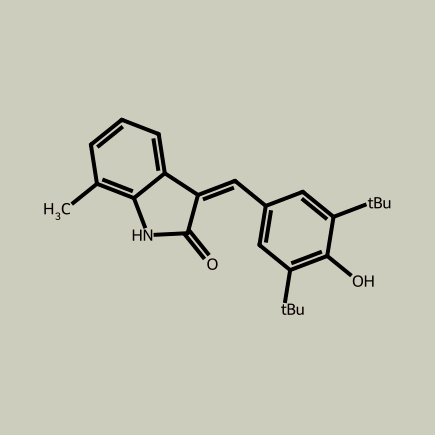 Cc1cccc2c1NC(=O)/C2=C\c1cc(C(C)(C)C)c(O)c(C(C)(C)C)c1